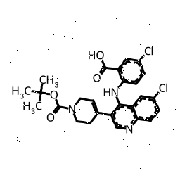 CC(C)(C)OC(=O)N1CC=C(c2cnc3ccc(Cl)cc3c2Nc2ccc(Cl)cc2C(=O)O)CC1